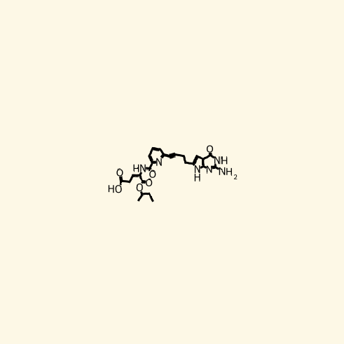 CCC(C)OC(=O)C(CCC(=O)O)NC(=O)c1cccc(C#CCCc2cc3c(=O)[nH]c(N)nc3[nH]2)n1